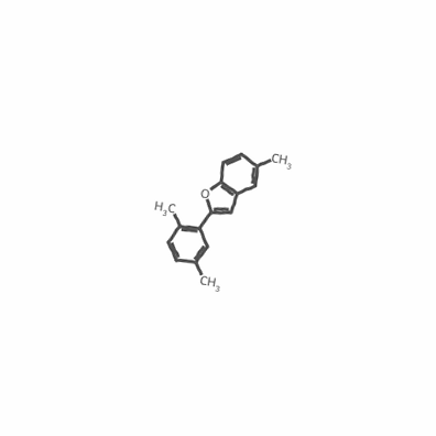 Cc1ccc(C)c(-c2cc3cc(C)ccc3o2)c1